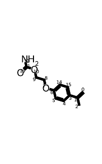 C=C(C)c1ccc(OCCOC(N)=O)cc1